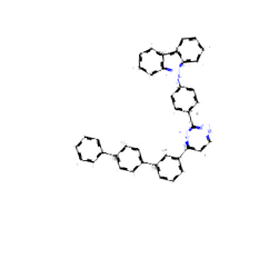 c1ccc(-c2ccc(-c3cccc(-c4ccnc(-c5ccc(-n6c7ccccc7c7ccccc76)cc5)n4)c3)cc2)cc1